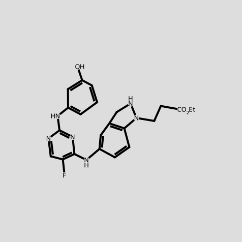 CCOC(=O)CCN1NCc2cc(Nc3nc(Nc4cccc(O)c4)ncc3F)ccc21